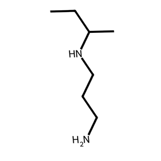 CCC(C)NCCCN